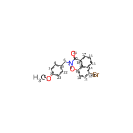 COc1ccc(CN2Oc3ccc(Br)c4cccc(c34)C2=O)cc1